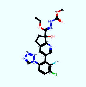 CCO/C(=N\NC(=O)OC)C1(O)CCc2cc(-c3c(-n4cnnn4)ccc(Cl)c3F)cnc21